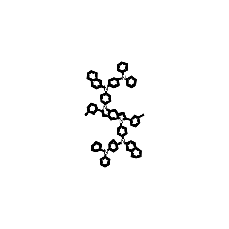 Cc1cccc(-c2cc3cc4c(cc(-c5cccc(C)c5)n4-c4ccc(N(c5ccc(N(c6ccccc6)c6ccccc6)cc5)c5ccc6ccccc6c5)cc4)cc3n2-c2ccc(N(c3ccc(N(c4ccccc4)c4ccccc4)cc3)c3ccc4ccccc4c3)cc2)c1